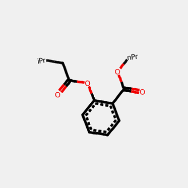 CCCOC(=O)c1ccccc1OC(=O)CC(C)C